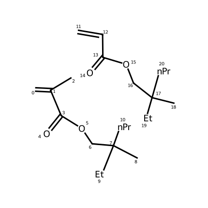 C=C(C)C(=O)OCC(C)(CC)CCC.C=CC(=O)OCC(C)(CC)CCC